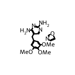 COc1cc(Cc2cnc(N)nc2N)cc(OC)c1OC.c1cocn1